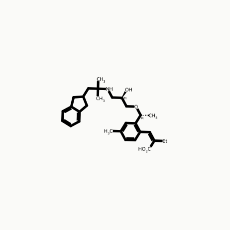 CCC(=Cc1ccc(C)cc1[C@@H](C)OC[C@H](O)CNC(C)(C)CC1Cc2ccccc2C1)C(=O)O